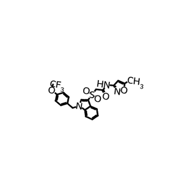 Cc1cc(NC(=O)CS(=O)(=O)c2cn(Cc3ccc(OC(F)(F)F)cc3)c3ccccc23)no1